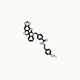 Cc1ccc(CCNC(=O)c2ccc(CN3C(=O)C4(COc5cc6c(cc54)OCO6)c4ccccc43)cc2)cc1